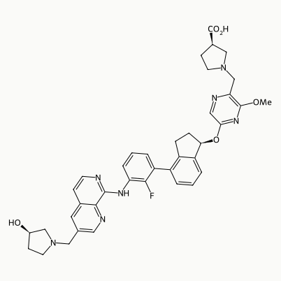 COc1nc(O[C@@H]2CCc3c(-c4cccc(Nc5nccc6cc(CN7CC[C@@H](O)C7)cnc56)c4F)cccc32)cnc1CN1CC[C@@H](C(=O)O)C1